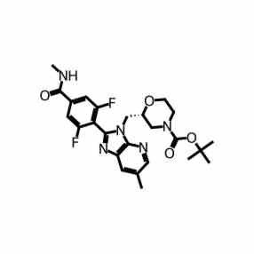 CNC(=O)c1cc(F)c(-c2nc3cc(C)cnc3n2C[C@H]2CN(C(=O)OC(C)(C)C)CCO2)c(F)c1